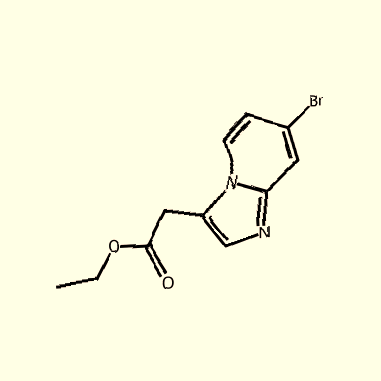 CCOC(=O)Cc1cnc2cc(Br)ccn12